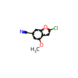 COc1cc(C#N)cc2oc(Cl)cc12